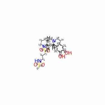 CS(=O)(=O)NCCCS(=O)(=O)N1CCC[C@@H]2CN3CCc4cc(O)c(O)cc4[C@@H]3C[C@@H]21